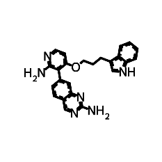 Nc1ncc2ccc(-c3c(OCCCc4c[nH]c5ccccc45)ccnc3N)cc2n1